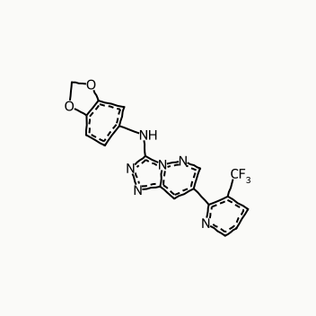 FC(F)(F)c1cccnc1-c1cnn2c(Nc3ccc4c(c3)OCO4)nnc2c1